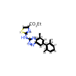 CCOC(=O)c1csc(Nc2nnc3cc(-c4c(C)cccc4C)cc(C)c3n2)n1